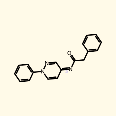 O=C(Cc1ccccc1)/N=c1/ccn(-c2ccccc2)nc1